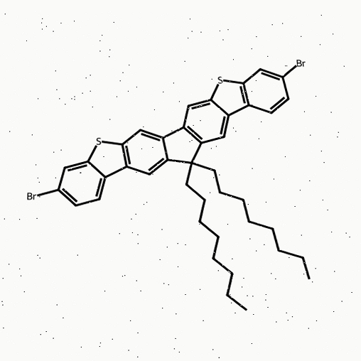 CCCCCCCCC1(CCCCCCCC)c2cc3c(cc2-c2cc4sc5cc(Br)ccc5c4cc21)sc1cc(Br)ccc13